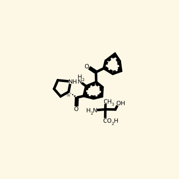 CC(N)(CO)C(=O)O.Nc1c(C(=O)c2ccccc2)cccc1C(=O)[C@@H]1CCCN1